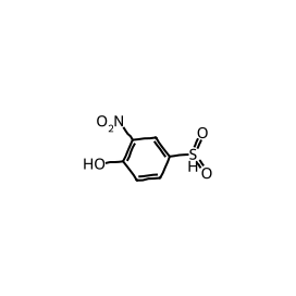 O=[N+]([O-])c1cc([SH](=O)=O)ccc1O